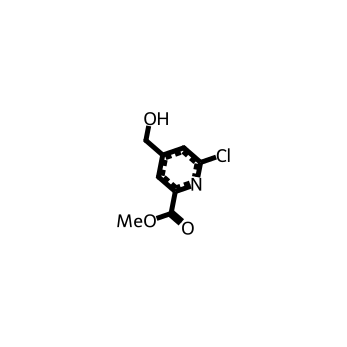 COC(=O)c1cc(CO)cc(Cl)n1